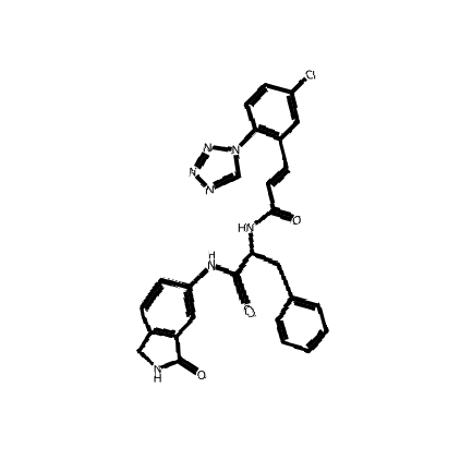 O=C(C=Cc1cc(Cl)ccc1-n1cnnn1)NC(Cc1ccccc1)C(=O)Nc1ccc2c(c1)C(=O)NC2